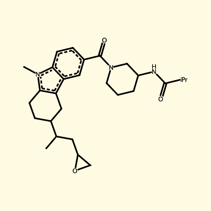 CC(C)C(=O)NC1CCCN(C(=O)c2ccc3c(c2)c2c(n3C)CCC(C(C)CC3CO3)C2)C1